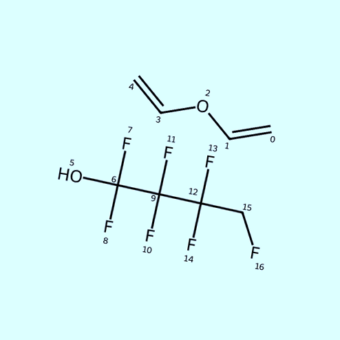 C=COC=C.OC(F)(F)C(F)(F)C(F)(F)CF